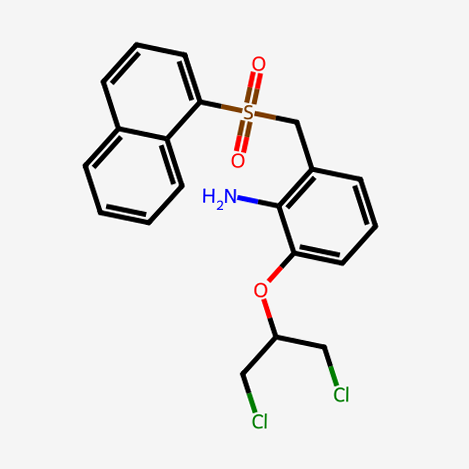 Nc1c(CS(=O)(=O)c2cccc3ccccc23)cccc1OC(CCl)CCl